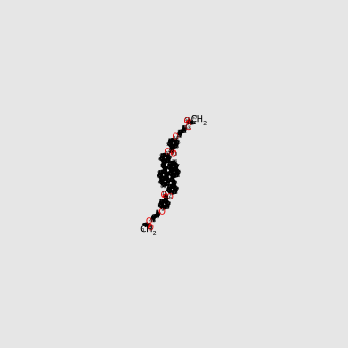 C=CC(=O)OCCCCOc1ccc(C(=O)Oc2ccc(/C=C/c3ccc4ccccc4c3-c3c(/C=C/c4ccc(OC(=O)c5ccc(OCCCCOC(=O)C=C)cc5)cc4)ccc4ccccc34)cc2)cc1